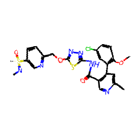 CN=[S@@](C)(=O)c1ccc(COc2nnc(NC(=O)c3cnc(C)cc3-c3cc(Cl)ccc3OC)s2)nc1